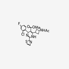 COC(=O)C1=C(C2CC(NC(C)=O)C2)NC(c2nccs2)=NC1c1ccc(F)cc1Cl